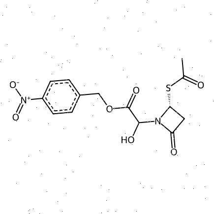 CC(=O)S[C@@H]1CC(=O)N1C(O)C(=O)OCc1ccc([N+](=O)[O-])cc1